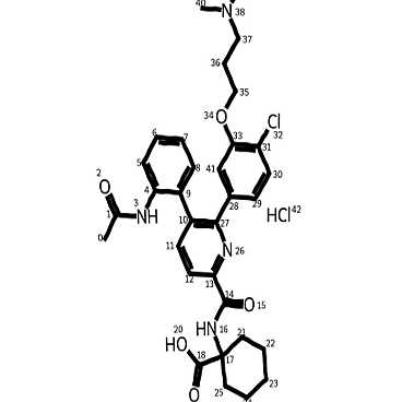 CC(=O)Nc1ccccc1-c1ccc(C(=O)NC2(C(=O)O)CCCCC2)nc1-c1ccc(Cl)c(OCCCN(C)C)c1.Cl